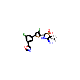 CC1(C)C(=N)N[C@H](c2sc(-c3cc(F)cc(-c4cnco4)c3)cc2F)CS1(=O)=O